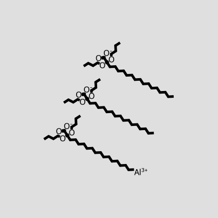 CCCCCCCCCCCCCCCCC(OCCCC)(OCCCC)C(=O)[O-].CCCCCCCCCCCCCCCCC(OCCCC)(OCCCC)C(=O)[O-].CCCCCCCCCCCCCCCCC(OCCCC)(OCCCC)C(=O)[O-].[Al+3]